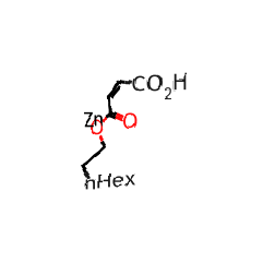 CCCCCCCCOC(=O)/C=C\C(=O)O.[Zn]